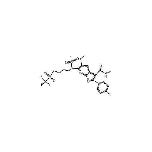 CCc1cc2c(C(=O)NC)c(-c3ccc(F)cc3)oc2nc1N(CCCCS(=O)(=O)C(F)(F)F)S(C)(=O)=O